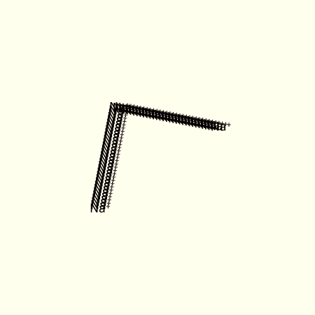 [Na+].[Na+].[Na+].[Na+].[Na+].[Na+].[Na+].[Na+].[Na+].[Na+].[Na+].[Na+].[Na+].[Na+].[Na+].[Na+].[Na+].[Na+].[Na+].[Na+].[Na+].[Na+].[Na+].[Na+].[Na+].[Na+].[Na+].[Na+].[Na+].[Na+].[Na+].[Na+].[Na+].[Na+].[Na+].[Na+].[Na+].[Na+].[Na+].[Na+].[Na+].[Na+].[Na+].[Na+].[Na+].[Na+].[Na+].[Na+].[Na+].[Na+].[Na+].[Na+].[Na+].[Na+].[Na+].[Na+].[Na+].[Na+].[Na+].[Na+].[Na+].[Na+].[Na+]